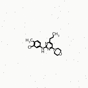 CCCc1cc(N2CCOCC2)nc(Nc2ccc(C)c(Cl)c2)n1